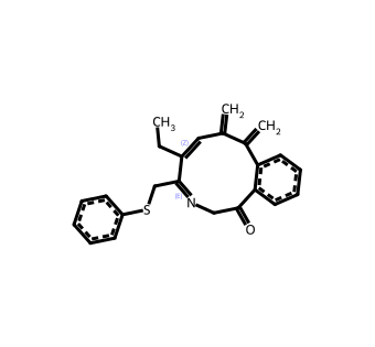 C=C1/C=C(CC)\C(CSc2ccccc2)=N/CC(=O)c2ccccc2C1=C